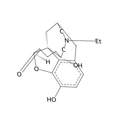 CCN1CC2Cc3ccc(O)c4c3[C@@]3(C2)[C@@H](O4)C(=O)CC[C@@]3(O)C1